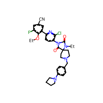 CCOc1c(F)cc(C#N)cc1-c1ccc(N2C(=O)N(CC)C3(CCN(Cc4ccc(N5CCCC5)cc4)CC3)C2=O)c(Cl)n1